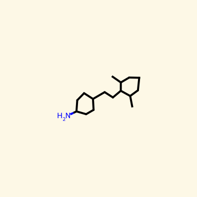 CC1CCCC(C)C1CCC1CCC(N)CC1